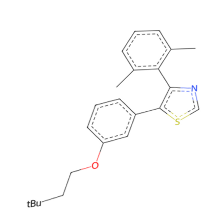 Cc1cccc(C)c1-c1ncsc1-c1cccc(OCCC(C)(C)C)c1